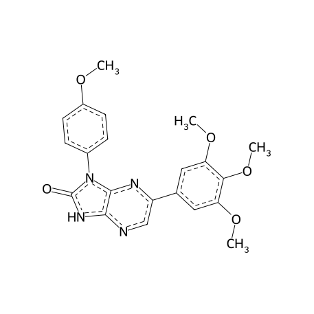 COc1ccc(-n2c(=O)[nH]c3ncc(-c4cc(OC)c(OC)c(OC)c4)nc32)cc1